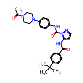 CC(=O)N1CCN(c2ccc(NC(=O)n3nccc3NC(=O)c3ccc(C(C)(C)C)cc3)cc2)CC1